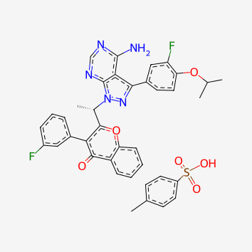 CC(C)Oc1ccc(-c2nn([C@@H](C)c3oc4ccccc4c(=O)c3-c3cccc(F)c3)c3ncnc(N)c23)cc1F.Cc1ccc(S(=O)(=O)O)cc1